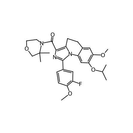 COc1ccc(-c2nc(C(=O)N3CCOCC3(C)C)c3n2-c2cc(OC(C)C)c(OC)cc2CC3)cc1F